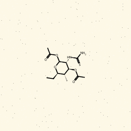 CC[C@H]1OC(OC(C)=O)[C@H](NC(N)=S)[C@@H](OC(C)=O)[C@@H]1C